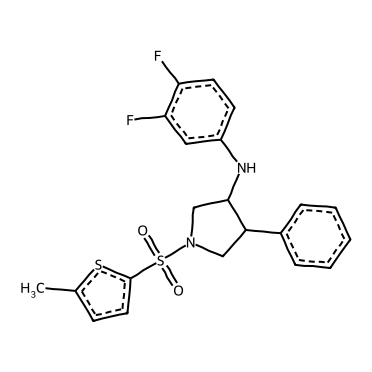 Cc1ccc(S(=O)(=O)N2CC(Nc3ccc(F)c(F)c3)C(c3ccccc3)C2)s1